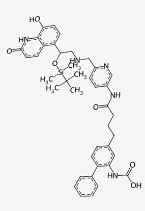 CC(C)(C)[Si](C)(C)OC(CNCc1ccc(NC(=O)CCCc2ccc(-c3ccccc3)c(NC(=O)O)c2)cn1)c1ccc(O)c2[nH]c(=O)ccc12